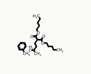 CCCCCOC(=O)C(CCC(C)C)C(=O)OCCCCC.Cc1ccccc1